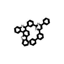 c1ccc(-c2cccc(-c3cc(-c4ccccc4)nc(-c4cccc(-c5nc6ccccc6c6c5ccc5c7ccccc7sc56)c4)n3)c2)cc1